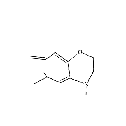 C=C/C=C1/OCCN(C)/C1=C/C(C)C